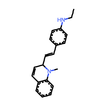 CCNc1ccc(C=CC2C=Cc3ccccc3N2C)cc1